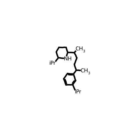 CC(C)c1cccc(C(C)CCC(C)C2CCCC(C(C)C)N2)c1